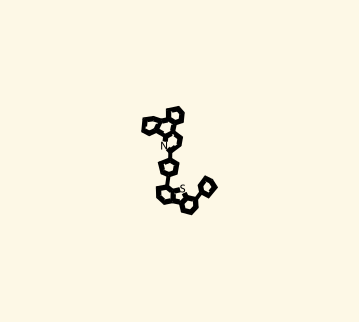 c1ccc(-c2cccc3c2sc2c(-c4ccc(-c5ccc6c7ccccc7c7ccccc7c6n5)cc4)cccc23)cc1